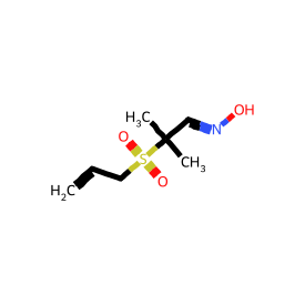 C=CCS(=O)(=O)C(C)(C)C=NO